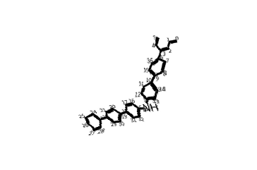 C=C/C=C(\C=C)c1ccc(-c2ccc(Nc3ccc(-c4ccc(-c5ccccc5)cc4)cc3)cc2)cc1